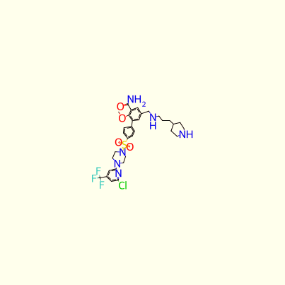 COc1c(C(N)=O)cc(CNCCCC2CCNCC2)cc1-c1ccc(S(=O)(=O)N2CCN(c3cc(C(F)(F)F)cc(Cl)n3)CC2)cc1